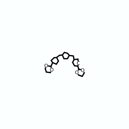 C1COC(C2CCC(CC3CCC(CC4CCC(C5OCCCO5)CC4)CC3)CC2)OC1